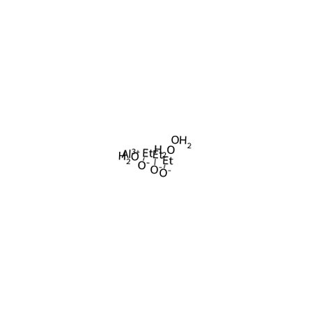 CC[O-].CC[O-].CC[O-].O.O.O.[Al+3]